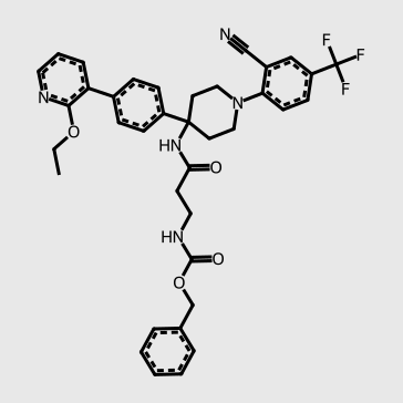 CCOc1ncccc1-c1ccc(C2(NC(=O)CCNC(=O)OCc3ccccc3)CCN(c3ccc(C(F)(F)F)cc3C#N)CC2)cc1